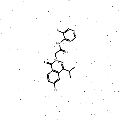 CC(C)c1nn(CC(=O)Nc2ncncc2F)c(=O)c2ccc(Br)cc12